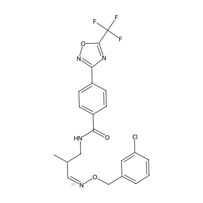 CC(/C=N\OCc1cccc(Cl)c1)CNC(=O)c1ccc(-c2noc(C(F)(F)F)n2)cc1